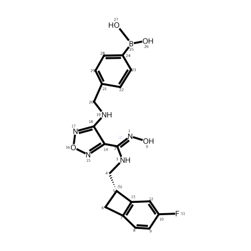 O/N=C(\NC[C@H]1Cc2ccc(F)cc21)c1nonc1NCc1ccc(B(O)O)cc1